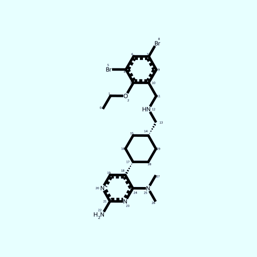 CCOc1c(Br)cc(Br)cc1CNC[C@H]1CC[C@@H](c2cnc(N)nc2N(C)C)CC1